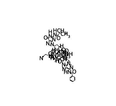 CC(C)C(=O)Nc1nc2c(ncn2[C@@H]2C[C@@H]3COP(=O)(O)O[C@H]4[C@@H](F)[C@H](n5cnc6c(NC(=O)c7ccccc7)ncnc65)O[C@@H]4COP(=O)(OCCC#N)O[C@@H]2[C@@H]3O[Si](C)(C)C(C)(C)C)c(=O)[nH]1